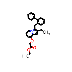 CCOC(=O)COc1cccn2c(Cc3ccccc3-c3ccccc3)c(CC)cc12